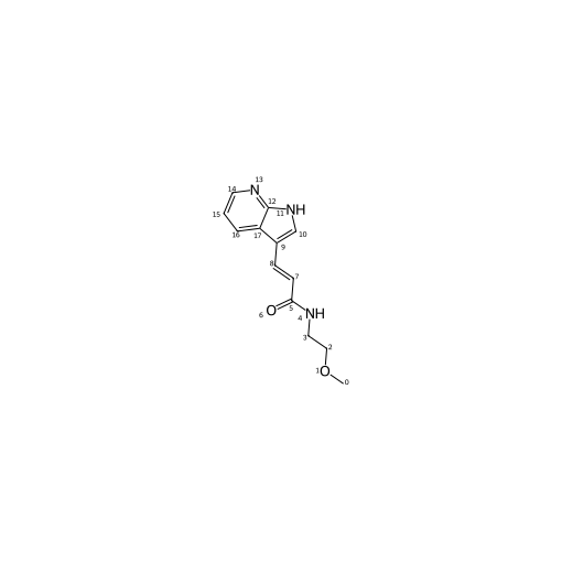 COCCNC(=O)C=Cc1c[nH]c2ncccc12